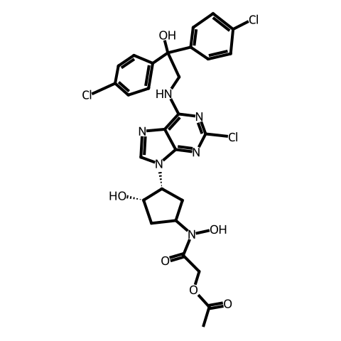 CC(=O)OCC(=O)N(O)C1C[C@@H](n2cnc3c(NCC(O)(c4ccc(Cl)cc4)c4ccc(Cl)cc4)nc(Cl)nc32)[C@@H](O)C1